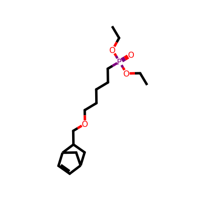 CCOP(=O)(CCCCCOCC1CC2C=CC1C2)OCC